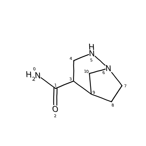 NC(=O)C1CNN2CCC1C2